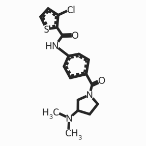 CN(C)C1CCN(C(=O)c2ccc(NC(=O)c3sccc3Cl)cc2)C1